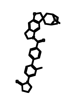 Cc1cc(N2CCCC2=O)ccc1-c1ccc(C(=O)N2CCc3cc4c(cc32)C2(CO4)CC3CCC(C2)[N+]3(C)C)cc1